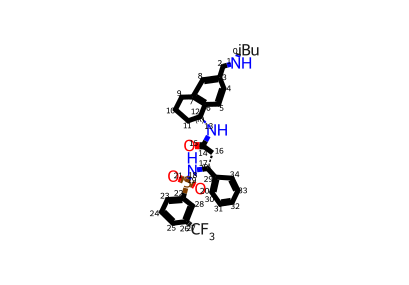 CCC(C)NCc1ccc2c(c1)CCC[C@H]2NC(=O)C[C@@H](NS(=O)(=O)c1cccc(C(F)(F)F)c1)c1ccccc1